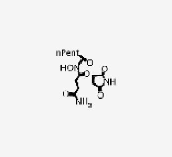 CCCCCC(=O)N(O)C(=O)CCC(N)=O.O=C1C=CC(=O)N1